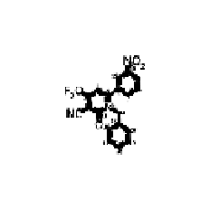 N#Cc1c(C(F)(F)F)cc(-c2cccc([N+](=O)[O-])c2)n(Cc2ccccc2)c1=O